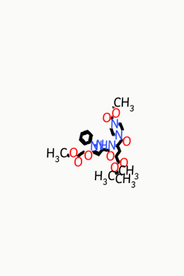 CCOC(=O)COc1cc(C(=O)NC(CCC(=O)OC(C)(C)C)C(=O)N2CCN(C(=O)OCC)CC2)nn1-c1ccccc1